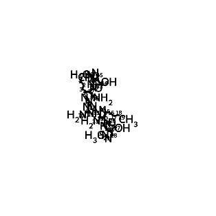 CCCCc1nn(-c2nc(N)nc(-n3nc(CCCC)c(/N=N/c4c(C(=O)O)cnn4C)c3N)n2)c(N)c1/N=N/c1c(C(=O)O)cnn1C